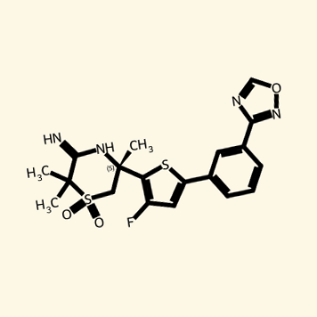 CC1(C)C(=N)N[C@](C)(c2sc(-c3cccc(-c4ncon4)c3)cc2F)CS1(=O)=O